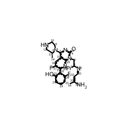 CCCC(Cn1c(=O)nc(N2CCNC[C@@H]2C)c2cc(F)c(-c3c(O)cccc3F)nc21)/N=C\C=C(\C)N